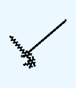 C=CCC1O[C@H](OC[C@H](NC(=O)C#CC#CC#CC#CC#CC#CC#CC#CC#CC#CC#CC#CC)[C@H](O)CCCCCCCCCCCCCC)[C@@H](C=C)C(C=C)[C@H]1C=C